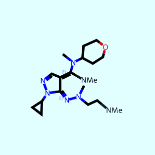 CNCCN(C)/N=C1\C(=C(/NC)N(C)C2CCOCC2)C=NN1C1CC1